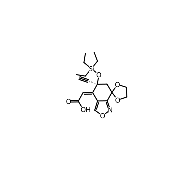 C#C[C@]1(O[Si](CC)(CC)CC)CC2(OCCO2)c2nocc2C1=CC(=O)O